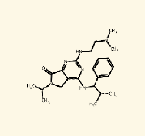 CC(C)C(Nc1nc(NCCN(C)C)nc2c1CN(C(C)C)C2=O)c1ccccc1